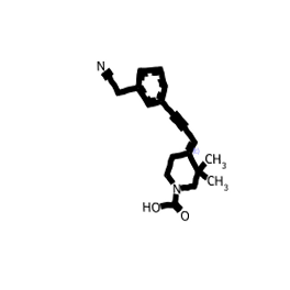 CC1(C)CN(C(=O)O)CC/C1=C\C#Cc1cccc(CC#N)c1